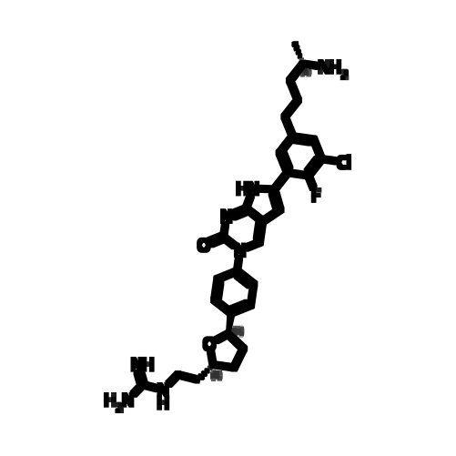 C[C@H](N)CCCc1cc(Cl)c(F)c(-c2cc3cn(-c4ccc([C@H]5CC[C@H](CCNC(=N)N)O5)cc4)c(=O)nc3[nH]2)c1